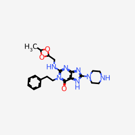 CC1OC(CNc2nc3nc(N4CCNCC4)[nH]c3c(=O)n2CCc2ccccc2)O1